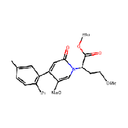 COCCC(C(=O)OC(C)(C)C)n1cc(OC)c(-c2cc(C)ccc2C(C)C)cc1=O